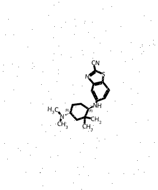 CN(C)[C@@H]1CC[C@@H](Nc2ccc3sc(C#N)nc3c2)C(C)(C)C1